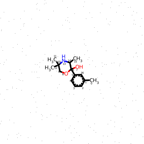 Cc1cccc(C2(O)OCC(C)(C)NC2C)c1